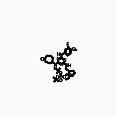 CC[N+]1(COP(=O)(OC(C)(C)C)OC(C)(C)C)CCCC1CNc1nc(Nc2ccc(OC)c(F)c2)nc(NC2CCCCCC2)n1.[Cl-]